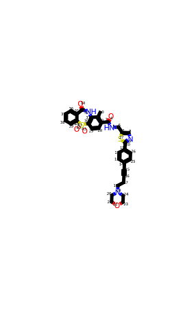 Cc1c(C(=O)NCc2cnc(-c3ccc(C#CCCN4CCOCC4)cc3)s2)ccc2c1NC(=O)c1ccccc1S2(=O)=O